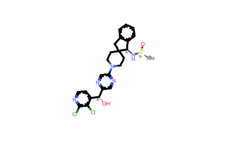 CC(C)(C)[S@@+]([O-])N[C@@H]1c2ccccc2CC12CCN(c1cnc([C@H](O)c3ccnc(Cl)c3Cl)cn1)CC2